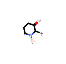 BN1CCCC(=O)C1C(C)=O